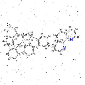 c1ccc2c(c1)-c1ccccc1C21c2cc(-c3ccc(-c4ccnc5c4ccc4cccnc45)cc3)ccc2-c2cccc3cccc1c23